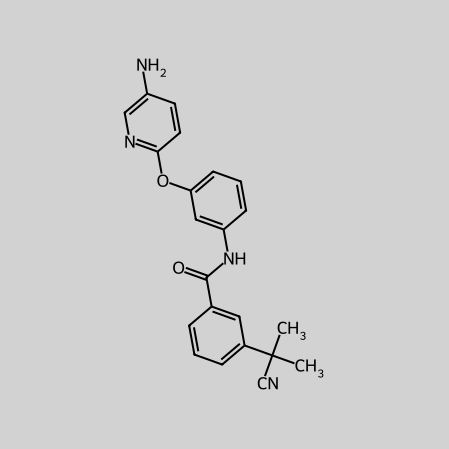 CC(C)(C#N)c1cccc(C(=O)Nc2cccc(Oc3ccc(N)cn3)c2)c1